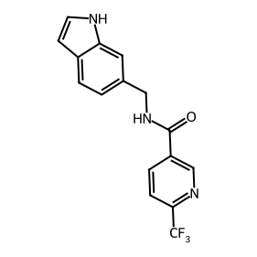 O=C(NCc1ccc2cc[nH]c2c1)c1ccc(C(F)(F)F)nc1